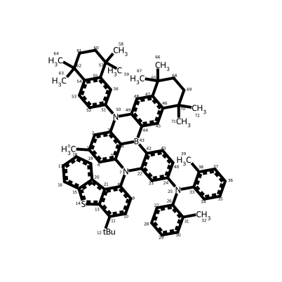 Cc1cc2c3c(c1)N(c1ccc(C(C)(C)C)c4sc5ccccc5c14)c1cc(N(c4ccccc4C)c4ccccc4C)ccc1B3c1cc3c(cc1N2c1ccc2c(c1)C(C)(C)CCC2(C)C)C(C)(C)CCC3(C)C